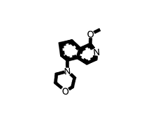 COc1nccc2c(N3CCOCC3)cccc12